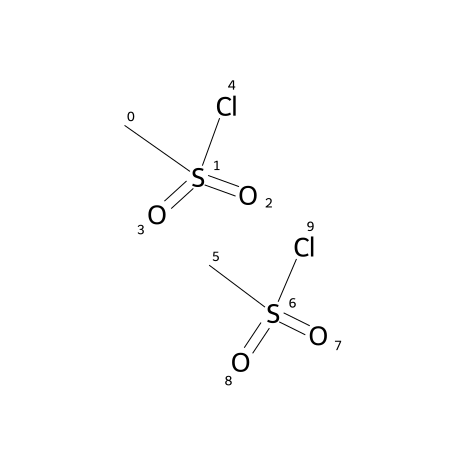 CS(=O)(=O)Cl.CS(=O)(=O)Cl